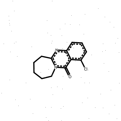 O=c1c2c(Cl)cccc2nc2n1CCCCC2